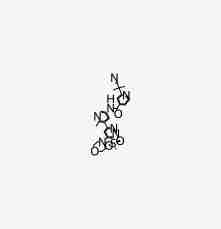 Cc1ncc(NC(=O)c2ccnc(C(C)(C)C#N)c2)cc1-c1cc(N2CCOCC2)c(S(C)(=O)=O)nn1